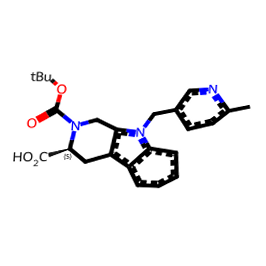 Cc1ccc(Cn2c3c(c4ccccc42)C[C@@H](C(=O)O)N(C(=O)OC(C)(C)C)C3)cn1